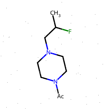 CC(=O)N1CCN(CC(C)F)CC1